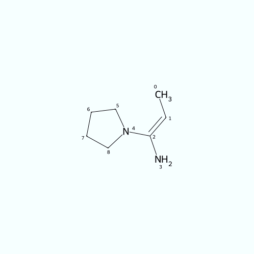 C/C=C(/N)N1CCCC1